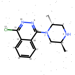 C[C@@H]1CN[C@@H](C)CN1c1nnc(Cl)c2ccccc12